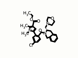 CCOC(=O)c1cc(-c2cc(Cl)ccc2C(=O)N2Cc3ccccc3C[C@H]2CN2CCOCC2)n(C)c1C